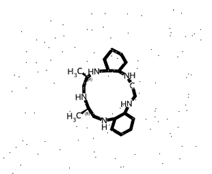 C[C@@H]1CNC2CCCCC2NCCNC2CCCCC2N[C@H](C)CN1